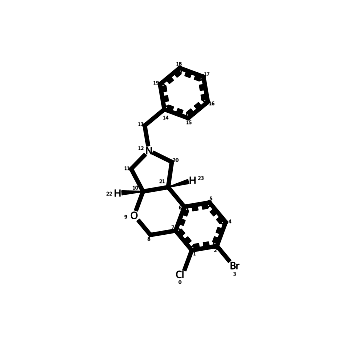 Clc1c(Br)ccc2c1CO[C@@H]1CN(Cc3ccccc3)C[C@H]21